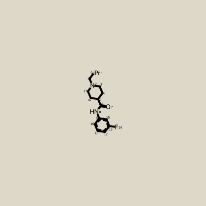 C[C](C)CN1CCC(C(=O)Nc2cccc(F)c2)CC1